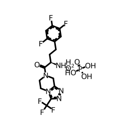 N[C@H](CCc1cc(F)c(F)cc1F)C(=O)N1CCn2c(nnc2C(F)(F)F)C1.O.O=P(O)(O)O